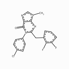 Cn1cnc2c(=O)n(-c3ccc(Cl)cc3)c(Cc3cccc(F)c3F)nc21